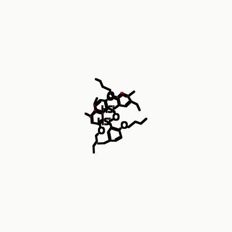 CCCCOc1ccc(CC)cc1[SiH](O[SiH](c1cc(CC)ccc1OCCCC)c1cc(CC)ccc1OCCCC)c1cc(CC)ccc1OCCCC